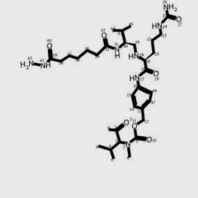 CC(=O)C(C(C)C)N(C)C(=O)OCc1ccc(NC(=O)[C@H](CCCNC(N)=O)NC[C@@H](NC(=O)CCCCCC(=O)NN)C(C)C)cc1